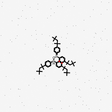 CC(C)(C)CC(C)(C)c1ccc([SiH](O[SiH](c2ccc(C(C)(C)CC(C)(C)C)cc2)c2ccc(C(C)(C)CC(C)(C)C)cc2)c2ccc(C(C)(C)CC(C)(C)C)cc2)cc1